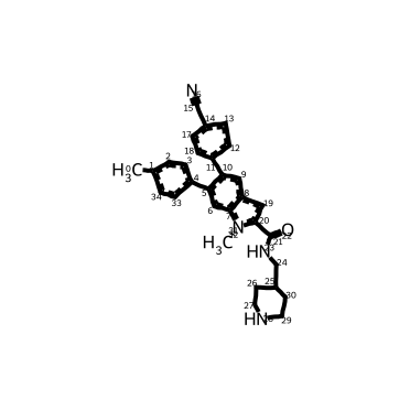 Cc1ccc(-c2cc3c(cc2-c2ccc(C#N)cc2)cc(C(=O)NCC2CCNCC2)n3C)cc1